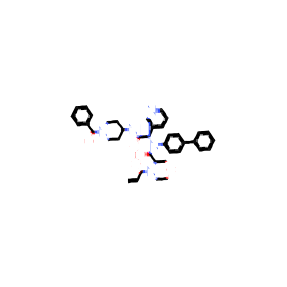 C=CC(=O)N1CCOCC1C(=O)N(c1ccc(-c2ccccc2)cc1)C(C(=O)NC1CCN(C(=O)c2ccccc2)CC1)c1cccnc1